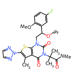 CNC(=O)C(C)(C)n1c(=O)c2c(C)c(-n3nccn3)sc2n(CC(OC(C)C)c2cc(F)ccc2OC)c1=O